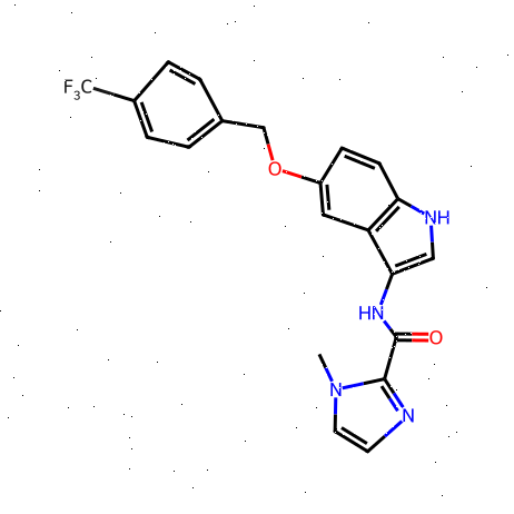 Cn1ccnc1C(=O)Nc1c[nH]c2ccc(OCc3ccc(C(F)(F)F)cc3)cc12